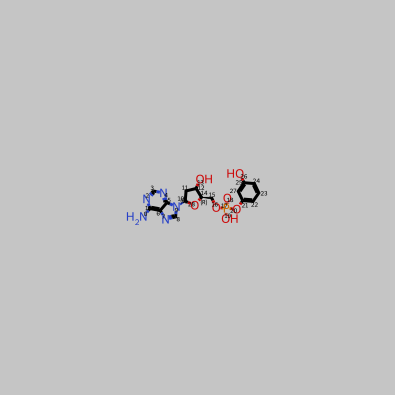 Nc1ncnc2c1ncn2[C@H]1CC(O)[C@@H](COP(=O)(O)Oc2cccc(O)c2)O1